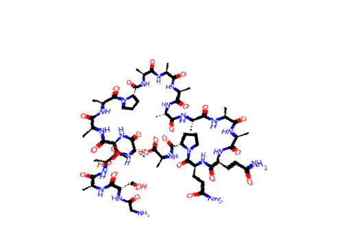 C[C@H](NC(=O)[C@@H]1CCCN1C(=O)[C@H](CCC(N)=O)NC(=O)[C@H](CCC(N)=O)NC(=O)[C@H](C)NC(=O)[C@H](C)NC(=O)[C@H](C)NC(=O)[C@H](C)NC(=O)[C@H](C)NC(=O)[C@H](C)NC(=O)[C@H](C)NC(=O)[C@@H]1CCCN1C(=O)[C@H](C)NC(=O)[C@H](C)NC(=O)[C@@H](NC(=O)[C@H](C)NC(=O)[C@H](C)NC(=O)[C@H](C)NC(=O)[C@H](CO)NC(=O)CN)[C@@H](C)O)C(=O)O